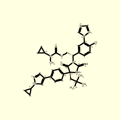 CN(C(=O)OC[C@H](c1ccc(Cl)c(-n2cncn2)c1)N1C(=N)N[C@](CC(C)(C)C)(c2ccc(-c3cnn(C4CC4)c3)cc2)C1=O)C1CC1